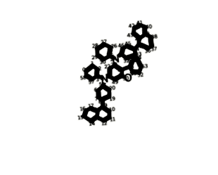 c1ccc(N(c2ccc(-c3cccc4ccccc34)cc2)c2cc(N(c3ccccc3)c3ccc(-c4cccc5ccccc45)cc3)c3c(c2)oc2ccccc23)cc1